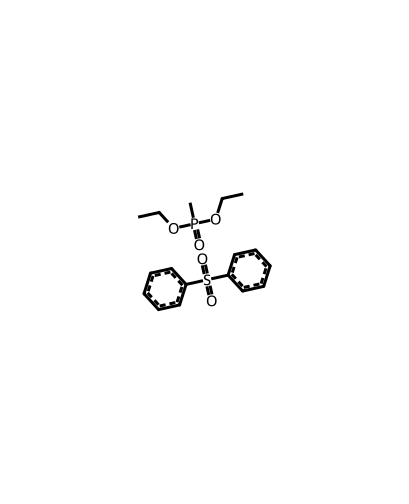 CCOP(C)(=O)OCC.O=S(=O)(c1ccccc1)c1ccccc1